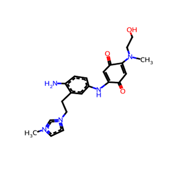 CN(CCO)C1=CC(=O)C(Nc2ccc(N)c(CCn3cc[n+](C)c3)c2)=CC1=O